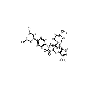 Cc1csc([N+](=O)[O-])c1CC(S(=O)(=O)Oc1ccc(N(CCCl)CCCl)cc1)S(=O)(=O)N1CCN(C)CC1